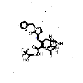 O=C(O)C(F)(F)F.O=C(O)C1=C(/C=C2\CCN(Cc3cccs3)C2=O)C[C@@H]2CN[C@@H]3C(=O)N1[C@H]23